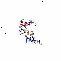 COc1cc2nccc(Oc3ccc4[nH]c(C)cc4c3F)c2cc1OCP